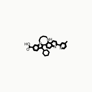 Cc1ccnc(-c2ccc3c4c(ccc3n2)-c2c(C3CCCCC3)c3ccc(C(=O)O)cc3n2CCCCN4)c1